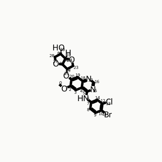 COc1cc2c(Nc3ccc(Br)c(Cl)c3)ncnc2cc1O[C@@H]1CO[C@@H]2C1OC[C@@H]2O